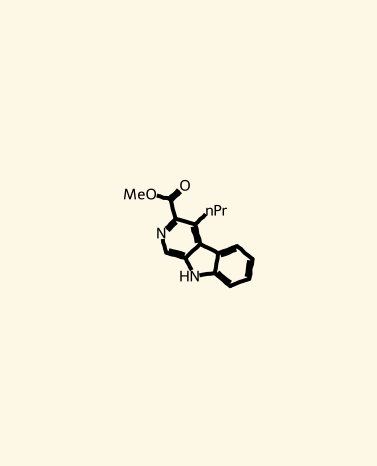 CCCc1c(C(=O)OC)ncc2[nH]c3ccccc3c12